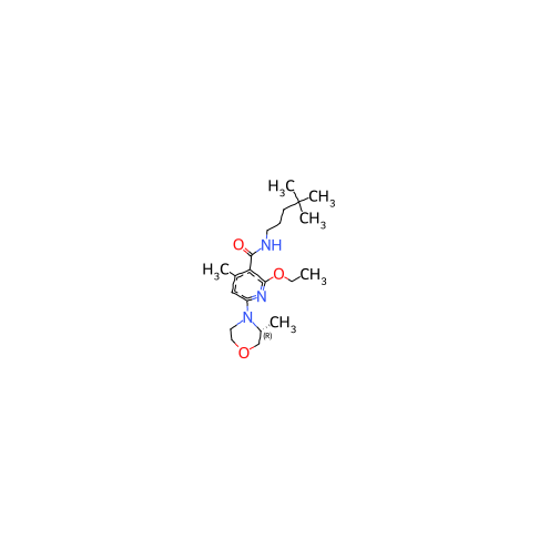 CCOc1nc(N2CCOC[C@H]2C)cc(C)c1C(=O)NCCCC(C)(C)C